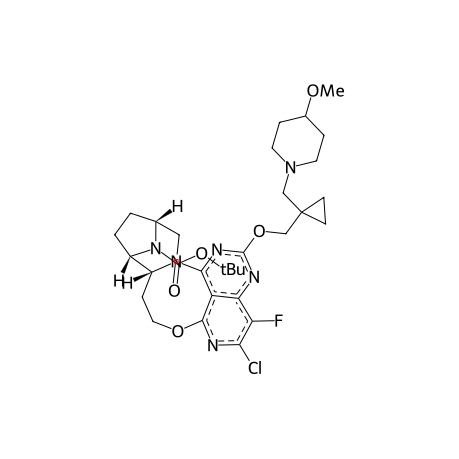 COC1CCN(CC2(COc3nc4c5c(nc(Cl)c(F)c5n3)OCC[C@@H]3[C@@H]5CC[C@H](CN43)N5C(=O)OC(C)(C)C)CC2)CC1